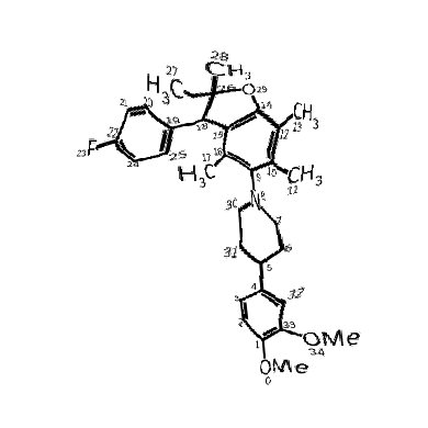 COc1ccc(C2CCN(c3c(C)c(C)c4c(c3C)C(c3ccc(F)cc3)C(C)(C)O4)CC2)cc1OC